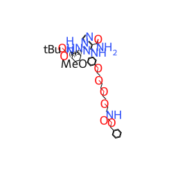 COc1cc(Nc2nc(N[C@H]3CCCC[C@H]3NC(=O)OC(C)(C)C)n3ccnc3c2C(N)=O)cc(OCCOCCOCCOCCNC(=O)OCc2ccccc2)c1